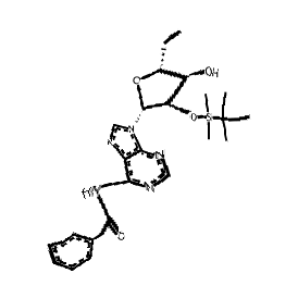 CC[C@H]1O[C@@H](n2cnc3c(NC(=O)c4ccccc4)ncnc32)[C@H](O[Si](C)(C)C(C)(C)C)[C@@H]1O